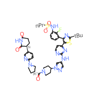 CCCS(=O)(=O)Nc1cccc(-c2nc(C(C)(C)C)sc2-c2ccnc(Nc3cnn(C4CCN(C(=O)[C@@H]5CCN(c6ccc([C@@H]7CCC(=O)NC7=O)cn6)C5)CC4)c3)n2)c1F